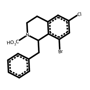 O=C(O)N1CCc2cc(Cl)cc(Br)c2C1Cc1ccccc1